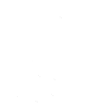 CC1(Oc2ncnc3c2nc(-c2ccc(OCc4nc(C(=O)O)cs4)cc2Cl)n3Cc2cccc(Cl)c2)CC1